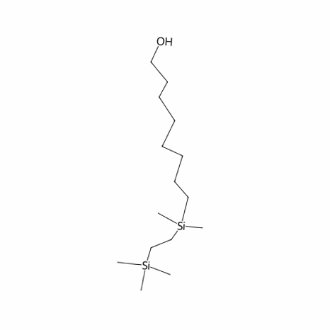 C[Si](C)(C)CC[Si](C)(C)CCCCCCCCO